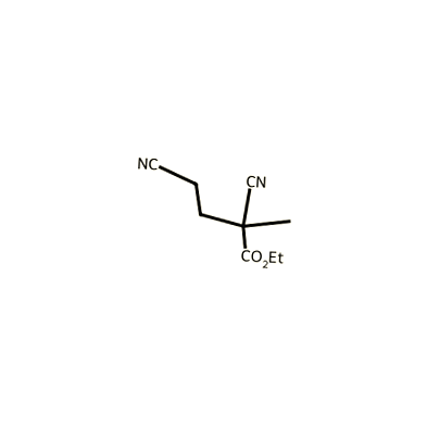 CCOC(=O)C(C)(C#N)CCC#N